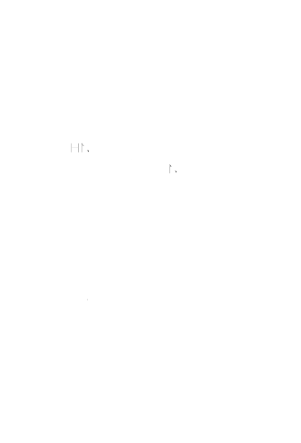 Clc1ccc2[nH]cc(N3CCCCC3)c2c1